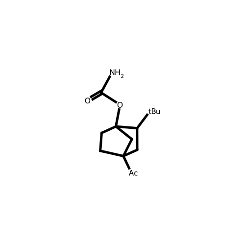 CC(=O)C12CCC(OC(N)=O)(C1)C(C(C)(C)C)C2